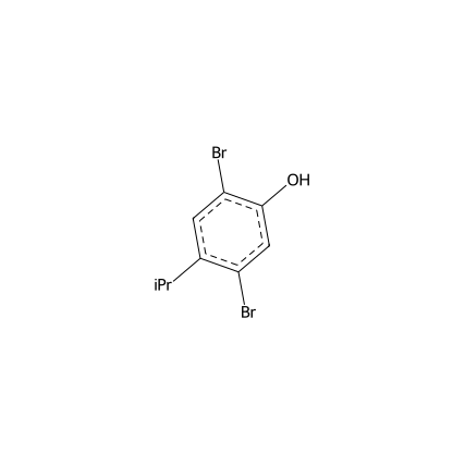 CC(C)c1cc(Br)c(O)cc1Br